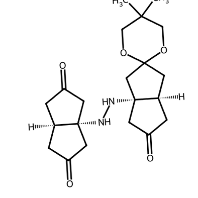 CC1(C)COC2(C[C@H]3CC(=O)C[C@@]3(NN[C@]34CC(=O)C[C@H]3CC(=O)C4)C2)OC1